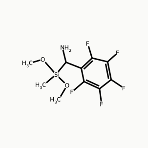 CO[Si](C)(OC)C(N)c1c(F)c(F)c(F)c(F)c1F